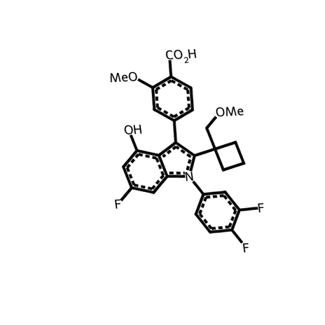 COCC1(c2c(-c3ccc(C(=O)O)c(OC)c3)c3c(O)cc(F)cc3n2-c2ccc(F)c(F)c2)CCC1